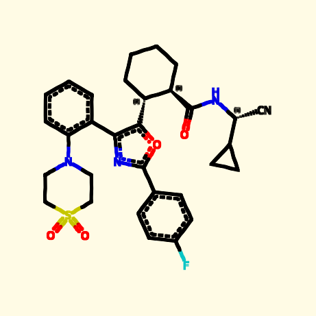 N#C[C@@H](NC(=O)[C@@H]1CCCC[C@H]1c1oc(-c2ccc(F)cc2)nc1-c1ccccc1N1CCS(=O)(=O)CC1)C1CC1